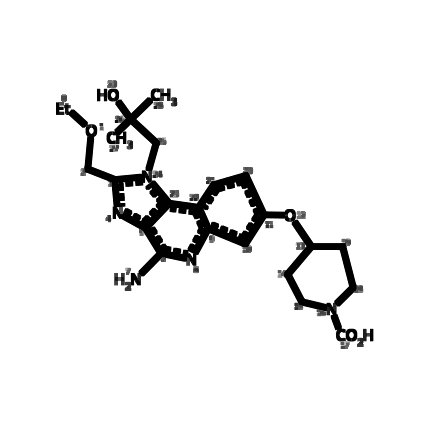 CCOCc1nc2c(N)nc3cc(OC4CCN(C(=O)O)CC4)ccc3c2n1CC(C)(C)O